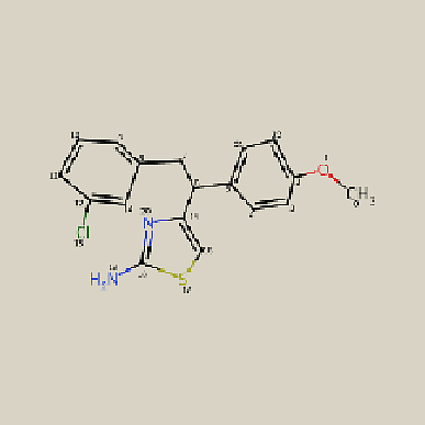 COc1ccc(C(Cc2cccc(Cl)c2)c2csc(N)n2)cc1